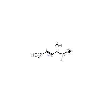 CCCN(C)C(O)/C=C/C(=O)O